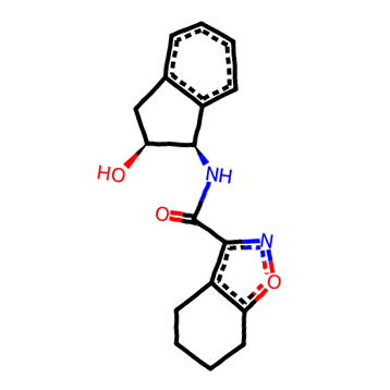 O=C(N[C@@H]1c2ccccc2C[C@@H]1O)c1noc2c1CCCC2